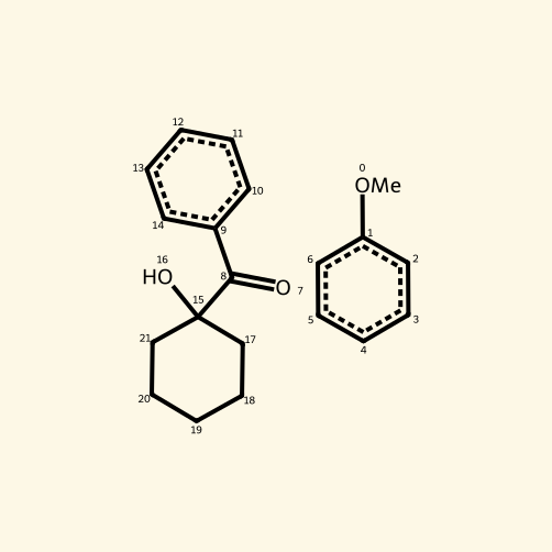 COc1ccccc1.O=C(c1ccccc1)C1(O)CCCCC1